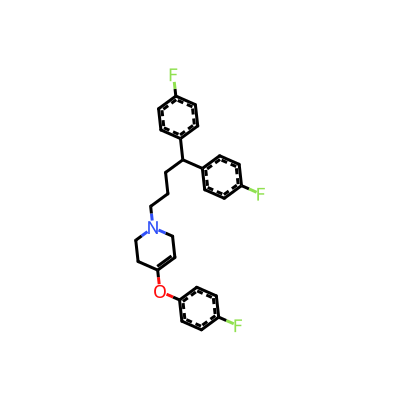 Fc1ccc(OC2=CCN(CCCC(c3ccc(F)cc3)c3ccc(F)cc3)CC2)cc1